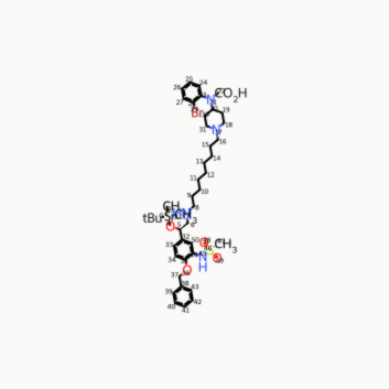 CC(C)(C)[Si](C)(C)O[C@@H](CNCCCCCCCCCN1CCC(N(C(=O)O)c2ccccc2Br)CC1)c1ccc(OCc2ccccc2)c(NS(C)(=O)=O)c1